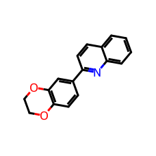 c1ccc2nc(-c3ccc4c(c3)OCCO4)ccc2c1